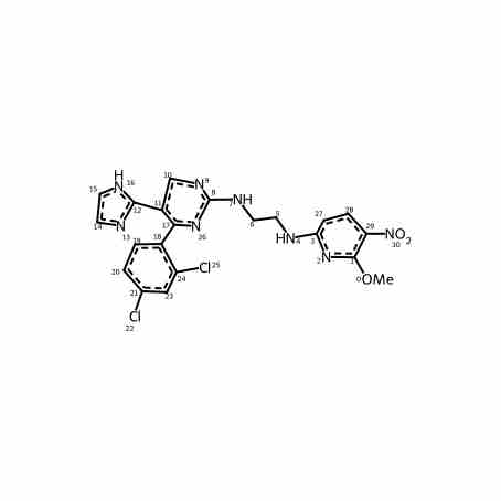 COc1nc(NCCNc2ncc(-c3ncc[nH]3)c(-c3ccc(Cl)cc3Cl)n2)ccc1[N+](=O)[O-]